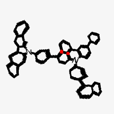 C1=CCC(c2ccc(N(C3=CCC(c4cccc5ccccc45)C=C3)c3ccc(-c4ccc(-n5c6cc7ccccc7cc6c6cc7ccccc7cc65)cc4)cc3)c(-c3ccccc3)c2)C=C1